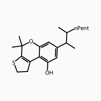 CCCCCC(C)C(C)c1cc(O)c2c(c1)OC(C)(C)C1=C2CCS1